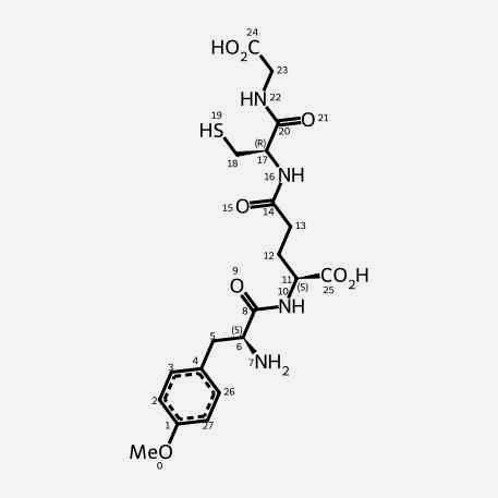 COc1ccc(C[C@H](N)C(=O)N[C@@H](CCC(=O)N[C@@H](CS)C(=O)NCC(=O)O)C(=O)O)cc1